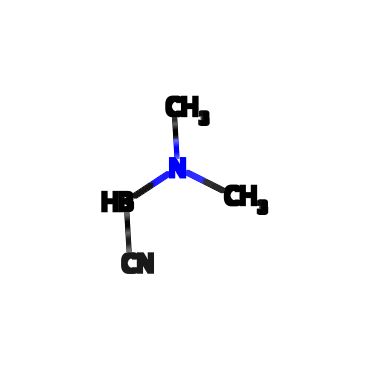 CN(C)BC#N